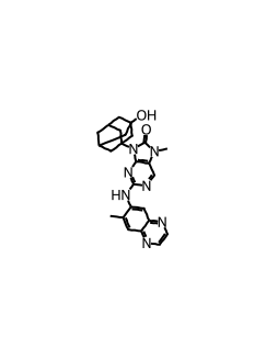 Cc1cc2nccnc2cc1Nc1ncc2c(n1)n(C13CC4CC(CC(O)(C4)C1)C3)c(=O)n2C